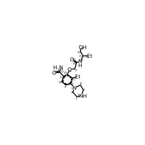 CCc1c(N2CCNCC2)ccc(C(N)=O)c1OCC(=O)NC(CC)CO